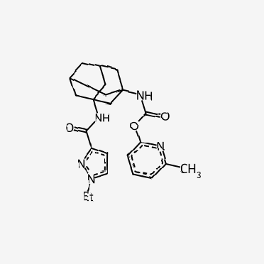 CCn1ccc(C(=O)NC23CC4CC(CC(NC(=O)Oc5cccc(C)n5)(C4)C2)C3)n1